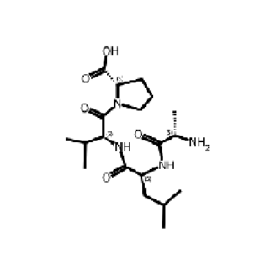 CC(C)C[C@H](NC(=O)[C@H](C)N)C(=O)N[C@H](C(=O)N1CCC[C@H]1C(=O)O)C(C)C